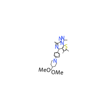 COC(OC)C1CCN(c2ccc(C3=N[C@@H](C)c4nnc(C)n4-c4sc(C)c(C)c43)cc2)CC1